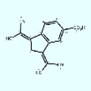 N#CC(C#N)=C1CC(=C(C#N)C#N)c2cc(C(=O)O)ccc21